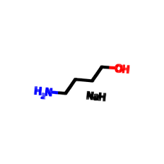 NCCCCO.[NaH]